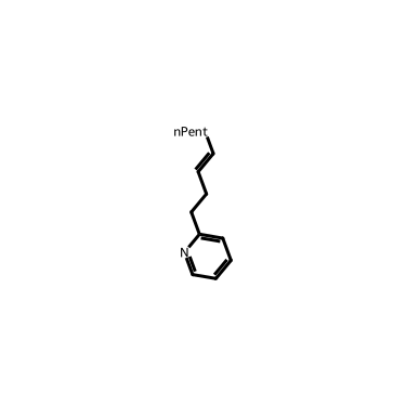 CCCCC/C=C/CCc1ccccn1